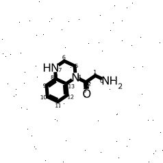 NCC(=O)N1CCNc2ccccc21